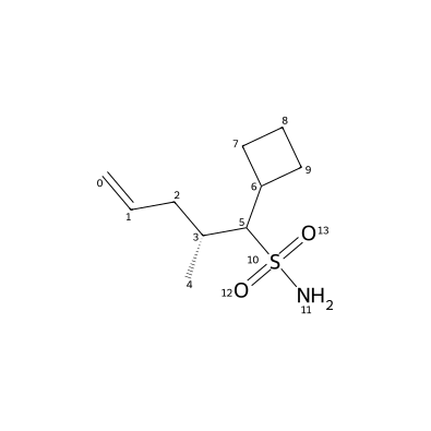 C=CC[C@@H](C)C(C1CCC1)S(N)(=O)=O